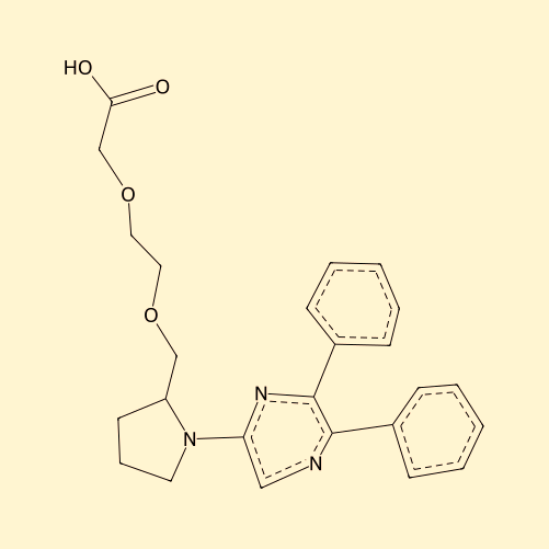 O=C(O)COCCOCC1CCCN1c1cnc(-c2ccccc2)c(-c2ccccc2)n1